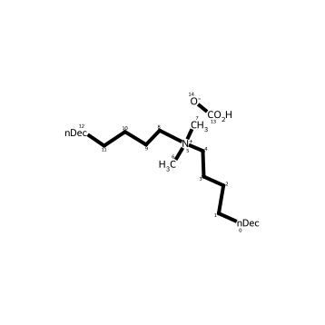 CCCCCCCCCCCCCC[N+](C)(C)CCCCCCCCCCCCCC.O=C([O-])O